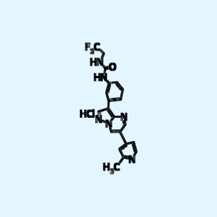 Cc1cc(-c2cnc3c(-c4cccc(NC(=O)NCC(F)(F)F)c4)cnn3c2)ccn1.Cl